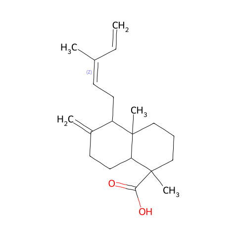 C=C/C(C)=C\CC1C(=C)CCC2C(C)(C(=O)O)CCCC12C